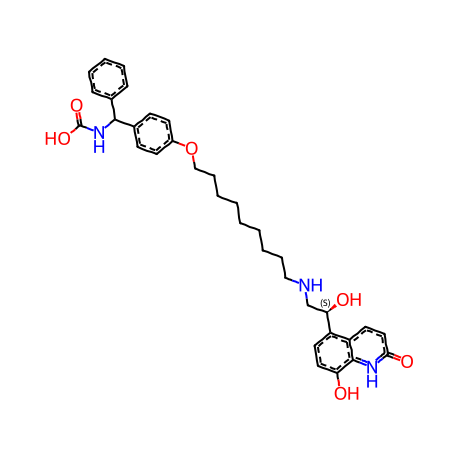 O=C(O)NC(c1ccccc1)c1ccc(OCCCCCCCCCNC[C@@H](O)c2ccc(O)c3[nH]c(=O)ccc23)cc1